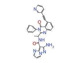 CC(NC(=O)c1c(N)nn2cccnc12)c1nc2cccc(C#Cc3cccnc3)c2c(=O)n1-c1ccccc1